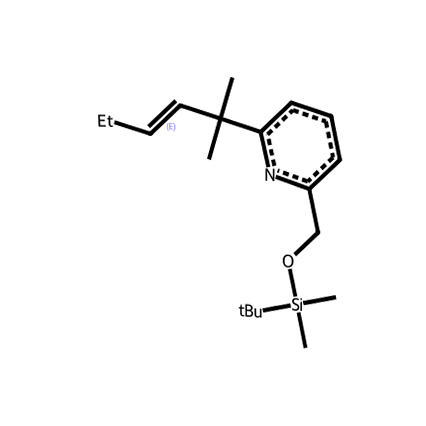 CC/C=C/C(C)(C)c1cccc(CO[Si](C)(C)C(C)(C)C)n1